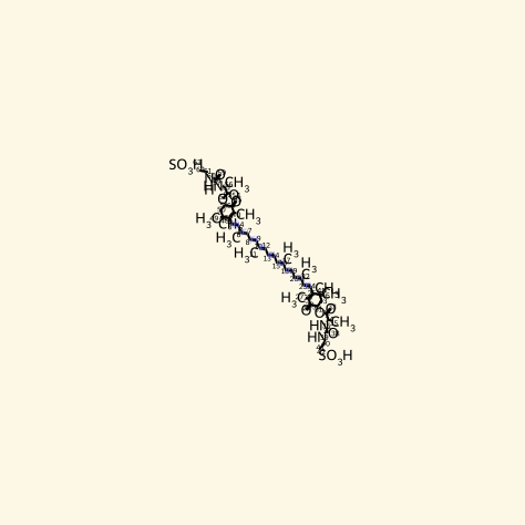 CC1=C(/C=C/C(C)=C/C=C/C(C)=C/C=C/C=C(C)/C=C/C=C(C)/C=C/C2=C(C)C(=O)C(OC(=O)C(C)NC(=O)NCCS(=O)(=O)O)CC2(C)C)C(C)(C)CC(OC(=O)C(C)NC(=O)NCCS(=O)(=O)O)C1=O